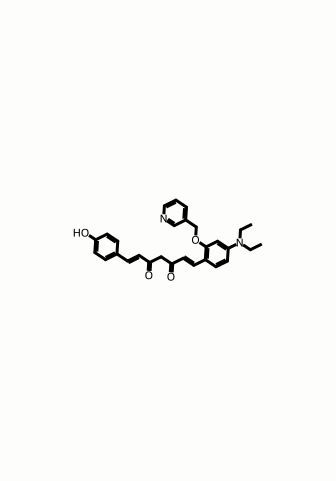 CCN(CC)c1ccc(C=CC(=O)CC(=O)C=Cc2ccc(O)cc2)c(OCc2cccnc2)c1